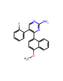 COc1ccc(-c2nc(N)ncc2-c2ccccc2F)c2ccccc12